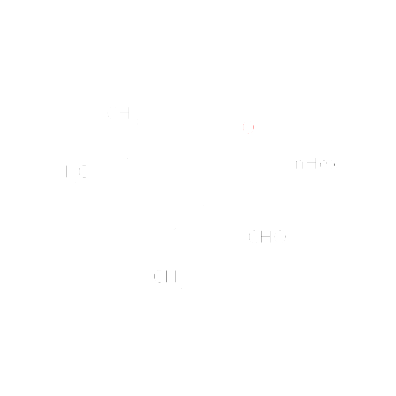 C=C1CC(C)(C)C=C(OCCCCCC)C1C=O